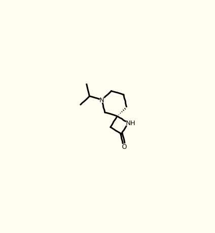 CC(C)N1CCC[C@]2(CC(=O)N2)C1